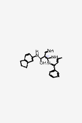 CC1=CC(c2ccccc2)=N/C(=C(/C=N)C(O)Nc2ccc3c(c2)CCC3)N1